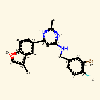 Cc1nc(NCc2ccc(F)c(Br)c2)cc(-c2ccc3occ(C)c3c2)n1